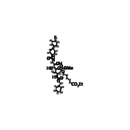 CCOC(=O)CCCCCO[C@]1(C(=O)OC)C[C@@H](NC(=O)OCc2ccccc2)[C@@H](C)C([C@H](O)[C@H](O)CNC(=O)c2ccc(-c3ccc(F)cc3)cc2)O1